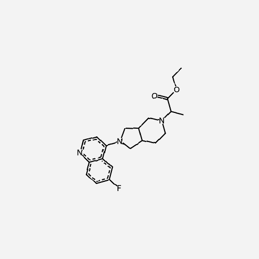 CCOC(=O)C(C)N1CCC2CN(c3ccnc4ccc(F)cc34)CC2C1